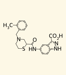 Cc1ccccc1CN1CCSC(C(=O)Nc2ccc3[nH]nc(C(=O)O)c3c2)C1